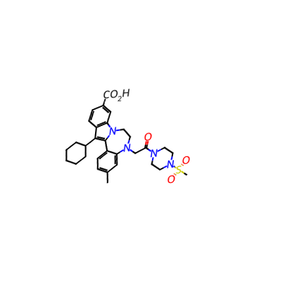 Cc1ccc2c(c1)N(CC(=O)N1CCN(S(C)(=O)=O)CC1)CCn1c-2c(C2CCCCC2)c2ccc(C(=O)O)cc21